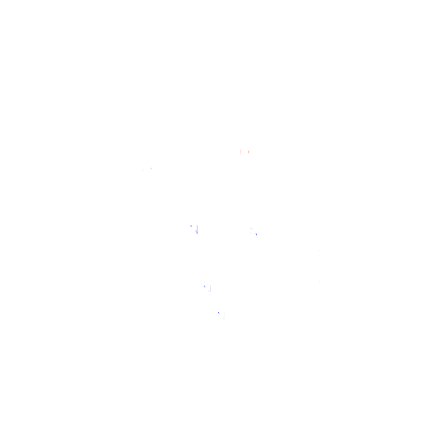 c1ccc(-c2cc(-c3cc(-n4c5ccc(-c6cccc7c6oc6ccccc67)cc5c5cc(-c6cccc7c6oc6ccccc67)ccc54)cc(-n4c5ccc(-c6cccc7c6oc6ccccc67)cc5c5cc(-c6cccc7c6oc6ccccc67)ccc54)c3)nc(-c3ccccc3)n2)cc1